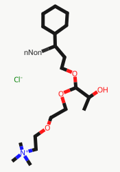 CCCCCCCCCC(CCOC(OCCOCC[N+](C)(C)C)C(C)O)C1CCCCC1.[Cl-]